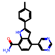 Cc1ccc(-c2cc3c(-c4cncnc4)ccc(C(N)=O)c3[nH]2)cc1